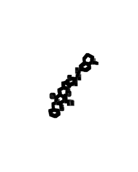 CCN1C(=O)/C(=C\c2cc3sc(/N=N/c4ccc5c(c4)CCCN5C)nc3s2)C(=O)N(Cc2ccccc2)C1=S